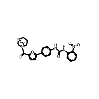 O=C(Nc1ccc(-c2ccc(C(=O)N3CCN4CCC3CC4)o2)cc1)Nc1ccccc1[N+](=O)[O-]